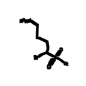 CCCCCCSCC(Br)S(=O)(=O)CC